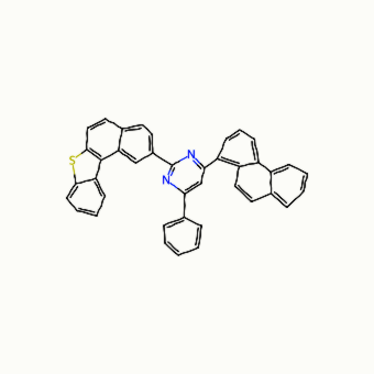 c1ccc(-c2cc(-c3cccc4c3ccc3ccccc34)nc(-c3ccc4ccc5sc6ccccc6c5c4c3)n2)cc1